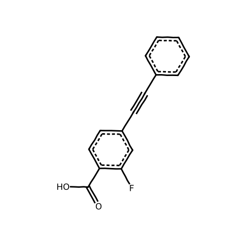 O=C(O)c1ccc(C#Cc2ccccc2)cc1F